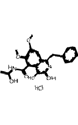 COc1cc2c(Cc3ccccc3)nc(O)c(O)c2c(C(=O)NC(C)O)c1OC.Cl